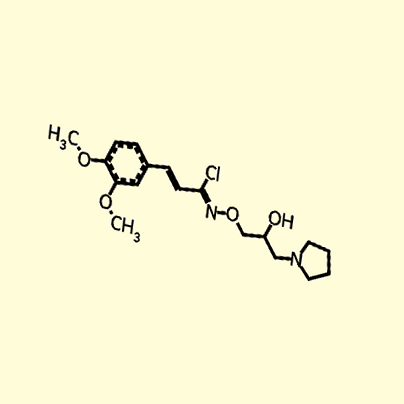 COc1ccc(C=CC(Cl)=NOCC(O)CN2CCCC2)cc1OC